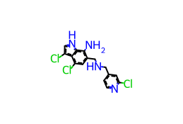 Nc1c(CNCc2ccnc(Cl)c2)cc(Cl)c2c(Cl)c[nH]c12